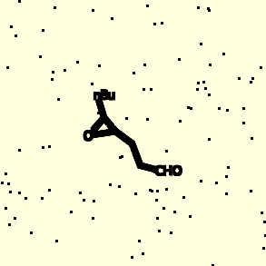 CCCCC1OC1CCC=O